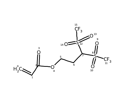 C=CC(=O)OCCC(S(=O)(=O)C(F)(F)F)S(=O)(=O)C(F)(F)F